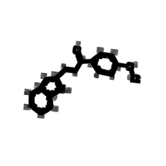 CCOc1ccc(C(=O)/C=C/c2cc3ccccc3s2)cc1